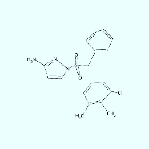 Cc1cccc(Cl)c1C.Nc1ccn(S(=O)(=O)Cc2ccccc2)n1